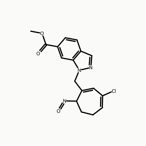 COC(=O)c1ccc2cnn(CC3=CC(Cl)=CCCC3N=O)c2c1